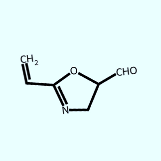 C=CC1=NCC(C=O)O1